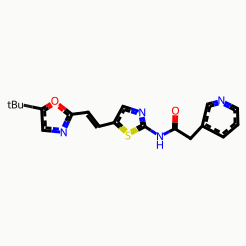 CC(C)(C)c1cnc(C=Cc2cnc(NC(=O)Cc3cccnc3)s2)o1